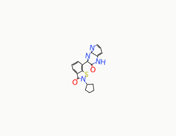 O=c1[nH]c2cccnc2nc1-c1cccc2c(=O)n(C3CCCC3)sc12